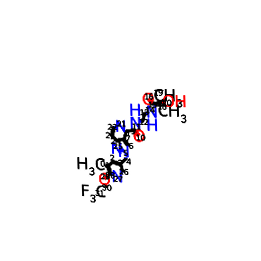 Cc1cc(Cn2cc3c(C(=O)NCCNC(=O)C(C)(C)O)nccc3n2)cnc1OCC(F)(F)F